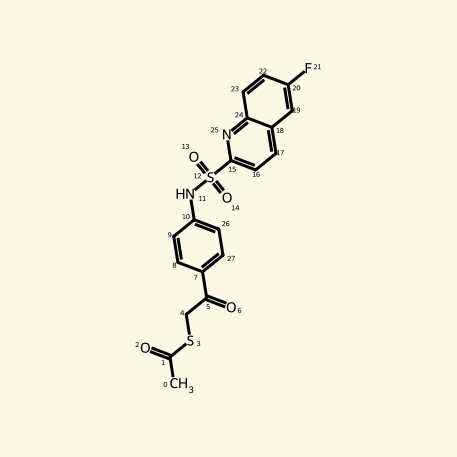 CC(=O)SCC(=O)c1ccc(NS(=O)(=O)c2ccc3cc(F)ccc3n2)cc1